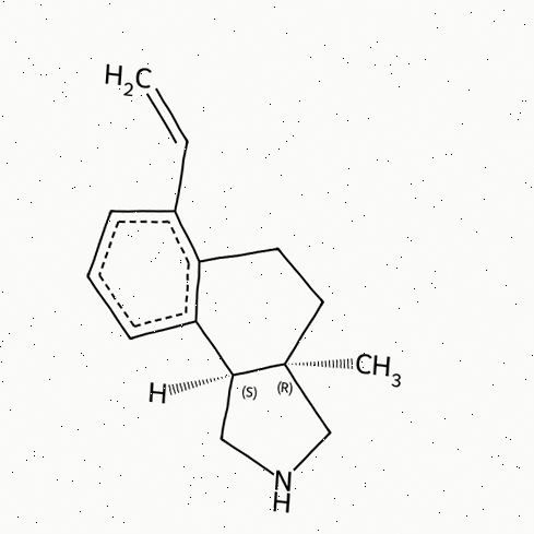 C=Cc1cccc2c1CC[C@@]1(C)CNC[C@@H]21